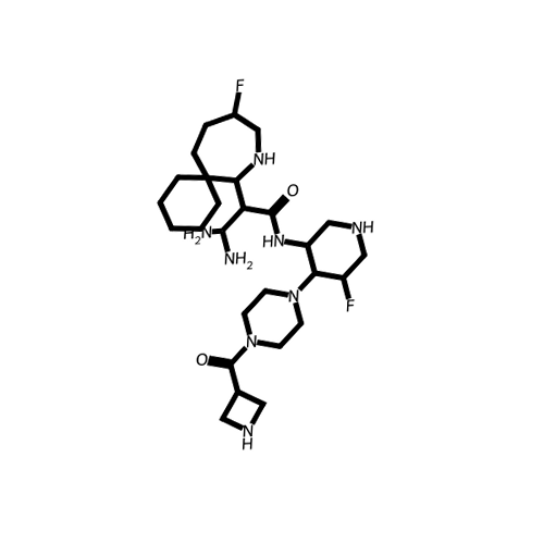 NC(N)C(C(=O)NC1CNCC(F)C1N1CCN(C(=O)C2CNC2)CC1)C1NCC(F)CCC12CCCCC2